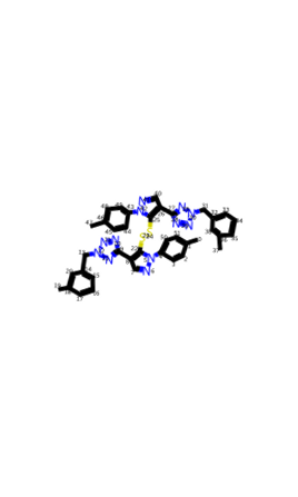 Cc1ccc(-n2ncc(-c3nnn(Cc4cccc(C)c4)n3)c2SSc2c(-c3nnn(Cc4cccc(C)c4)n3)cnn2-c2ccc(C)cc2)cc1